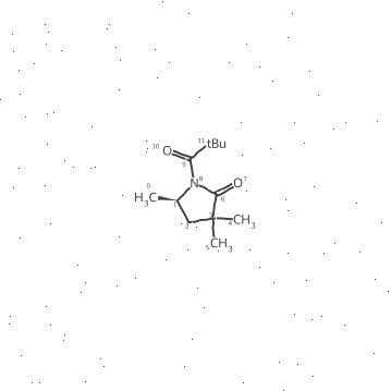 C[C@@H]1CC(C)(C)C(=O)N1C(=O)C(C)(C)C